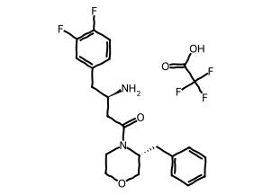 N[C@@H](CC(=O)N1CCOC[C@H]1Cc1ccccc1)Cc1ccc(F)c(F)c1.O=C(O)C(F)(F)F